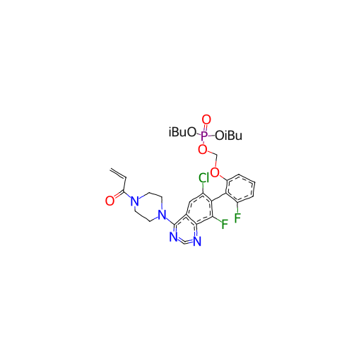 C=CC(=O)N1CCN(c2ncnc3c(F)c(-c4c(F)cccc4OCOP(=O)(OCC(C)C)OCC(C)C)c(Cl)cc23)CC1